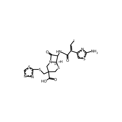 Nc1nc(C(=CI)C(=O)NC2C(=O)N3CC(CSc4nncs4)(C(=O)O)CS[C@H]23)cs1